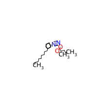 CCCCCCCCCc1cccc(N2C=C(OC(=O)C(C)CCC)N=CC2)c1